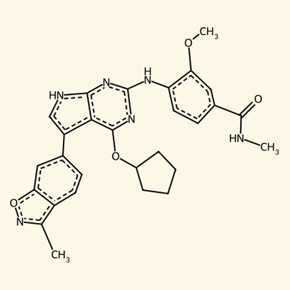 CNC(=O)c1ccc(Nc2nc(OC3CCCC3)c3c(-c4ccc5c(C)noc5c4)c[nH]c3n2)c(OC)c1